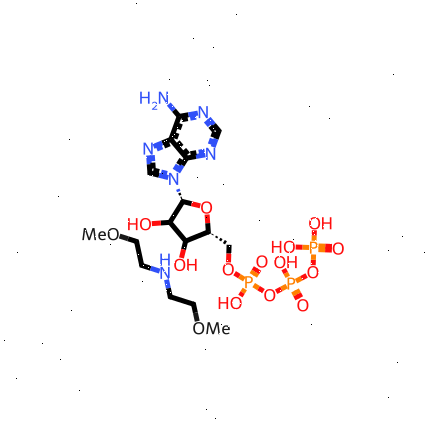 COCCNCCOC.Nc1ncnc2c1ncn2[C@@H]1O[C@H](COP(=O)(O)OP(=O)(O)OP(=O)(O)O)C(O)C1O